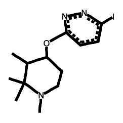 CC1C(Oc2ccc(I)nn2)CCN(C)C1(C)C